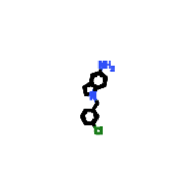 Nc1ccc2c(ccn2Cc2cccc(Cl)c2)c1